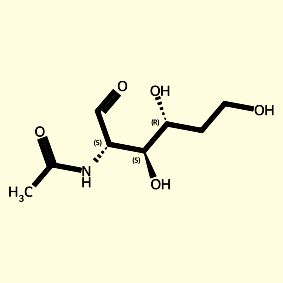 CC(=O)N[C@H](C=O)[C@H](O)[C@H](O)CCO